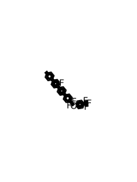 CC1CCC(c2ccc(-c3ccc(C4CCC(C(F)(F)Oc5ccc(C(F)(F)F)cc5)CC4)cc3)c(F)c2)CC1